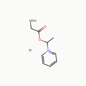 CCCCCCCCCC(=O)OC(C)[n+]1ccccc1.[Br-]